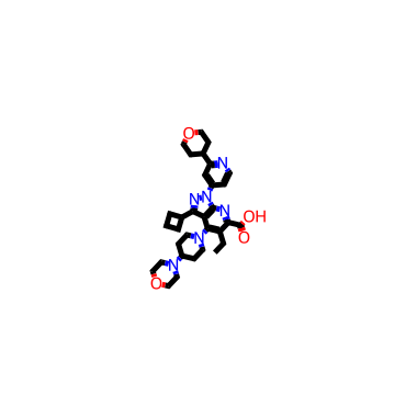 CCc1c(C(=O)O)nc2c(c(C3CCC3)nn2-c2ccnc(C3CCOCC3)c2)c1N1CCC(N2CCOCC2)CC1